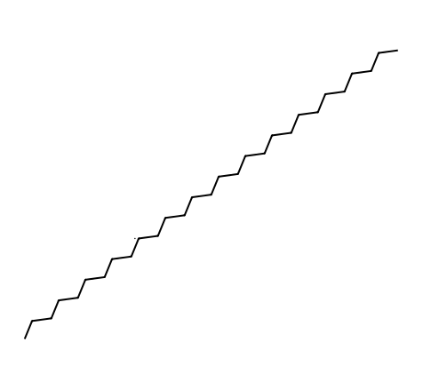 CCCCCCCCC[CH]CCCCCCCCCCCCCCCCCCC